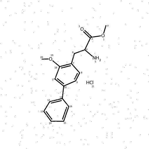 COC(=O)C(N)Cc1ccc(-c2ccccc2)cc1OC.Cl